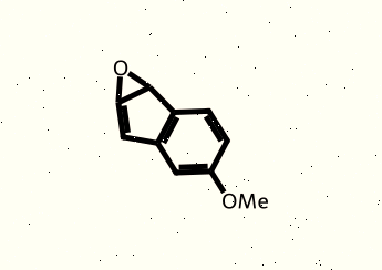 COc1ccc2c(c1)C=C1OC12